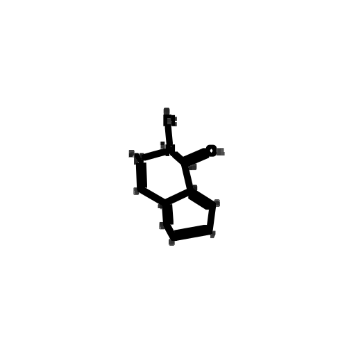 CCn1ncc2ccccc2c1=O